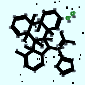 CC1=CC=CC2[CH]([Hf+2]([C]3=CC=CC3)=[C](C)C)C3(C)C4(C)C=CC=CC4(C)C4(C)C=CC=CC4(C)C3(C)C12C.[Cl-].[Cl-]